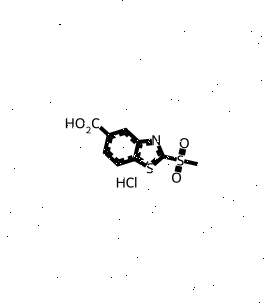 CS(=O)(=O)c1nc2cc(C(=O)O)ccc2s1.Cl